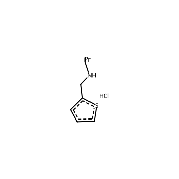 CC(C)NCc1cccs1.Cl